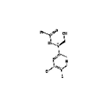 CC(C)C(=O)N[C@@H](CO)c1ccc(F)c(Cl)c1